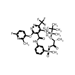 Cc1nc(F)ccc1Oc1nnc(C(F)(F)F)c(C)c1C(=O)Nc1cccc([S@@](C)(=O)=NC(=O)[C@@H](C)O[Si](C)(C)C(C)(C)C)c1